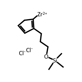 C[Si](C)(C)OCCCC1=[C]([Zr+2])CC=C1.[Cl-].[Cl-]